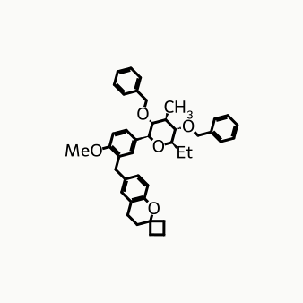 CC[C@H]1O[C@@H](c2ccc(OC)c(Cc3ccc4c(c3)CCC3(CCC3)O4)c2)[C@H](OCc2ccccc2)[C@@H](C)[C@@H]1OCc1ccccc1